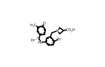 CCc1ccc(N[C@H](CC)c2ccc(Cl)c(C)c2)cc1CN1CC(C(=O)O)C1